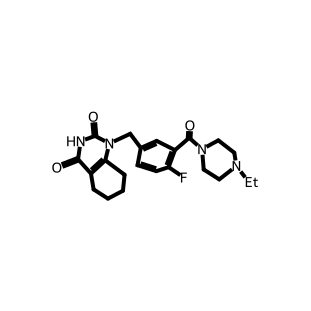 CCN1CCN(C(=O)c2cc(Cn3c4c(c(=O)[nH]c3=O)CCCC4)ccc2F)CC1